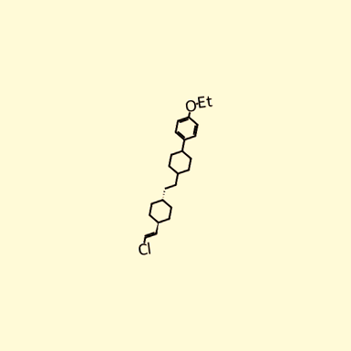 CCOc1ccc(C2CCC(CC[C@H]3CC[C@H](/C=C/Cl)CC3)CC2)cc1